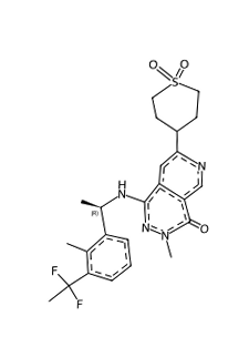 Cc1c([C@@H](C)Nc2nn(C)c(=O)c3cnc(C4CCS(=O)(=O)CC4)cc23)cccc1C(C)(F)F